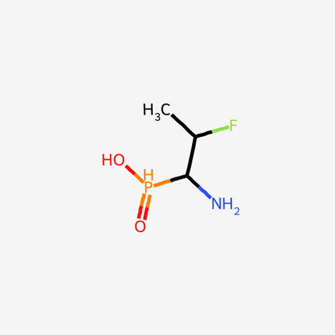 CC(F)C(N)[PH](=O)O